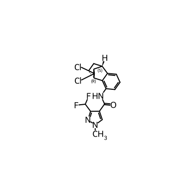 Cn1cc(C(=O)Nc2cccc3c2[C@@]24CC[C@H]3C2C4(Cl)Cl)c(C(F)F)n1